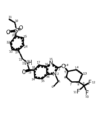 CCn1c(OC2CCC(C(F)(F)F)CC2)nc2cc(C(=O)NCc3ccc(S(=O)(=O)CC)cc3)ccc21